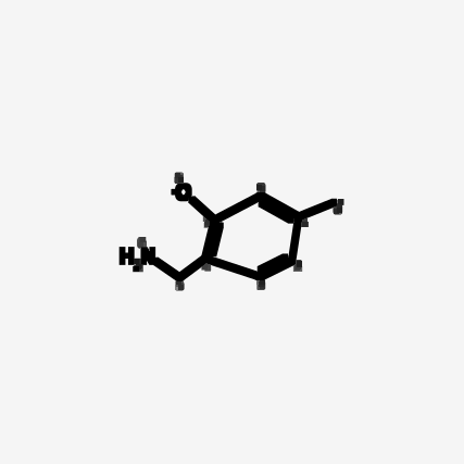 [CH2]c1ccc(CN)c([O])c1